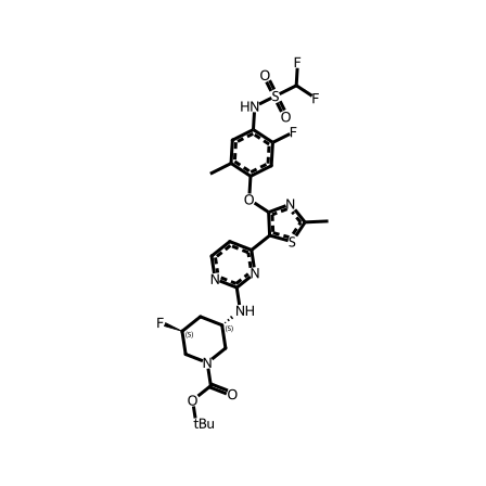 Cc1nc(Oc2cc(F)c(NS(=O)(=O)C(F)F)cc2C)c(-c2ccnc(N[C@H]3C[C@H](F)CN(C(=O)OC(C)(C)C)C3)n2)s1